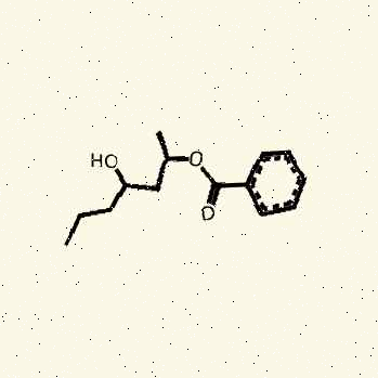 CCCC(O)CC(C)OC(=O)c1ccccc1